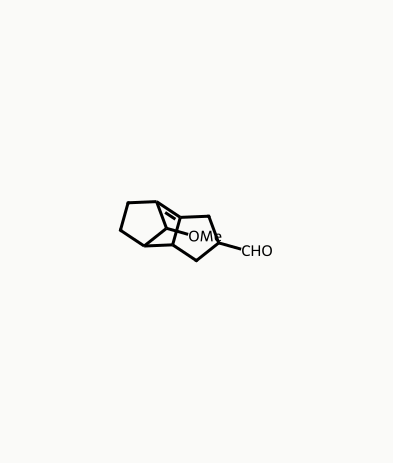 COC1C2=C3CC(C=O)CC3C1CC2